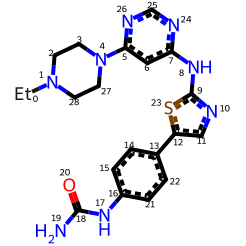 CCN1CCN(c2cc(Nc3ncc(-c4ccc(NC(N)=O)cc4)s3)ncn2)CC1